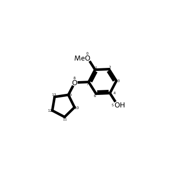 COc1ccc(O)cc1OC1CCCC1